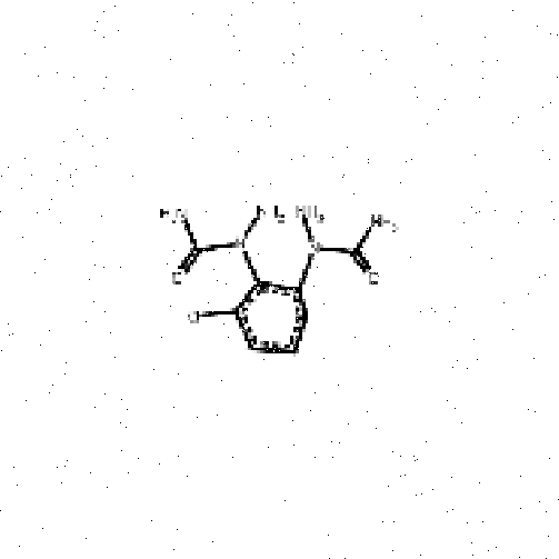 NC(=O)N(N)c1cc[c]c(Cl)c1N(N)C(N)=O